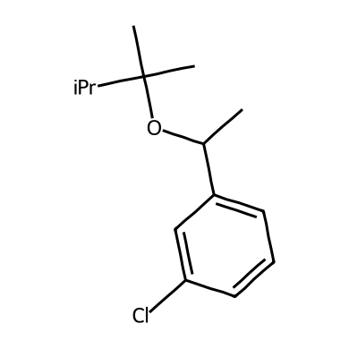 CC(OC(C)(C)C(C)C)c1cccc(Cl)c1